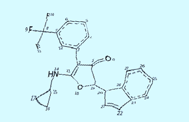 O=C1C(c2cccc(C(F)(F)F)c2)=C(NC2CC2)OC1C1C=Cc2ccccc21